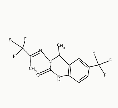 C/C(=N\N1C(=O)Nc2ccc(C(F)(F)F)cc2C1C)C(F)(F)F